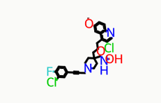 COc1ccc2ncc(Cl)c(CCCC3(C(=O)NO)CCN(CC#Cc4ccc(F)c(Cl)c4)CC3)c2c1